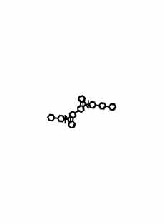 C1=CCC(c2ccc(-c3ccc(-n4c5ccccc5c5cc(-c6ccc7c(c6)c6c(n7C7=CCC(C8C=CCCC8)C=C7)CCC=C6)ccc54)cc3)cc2)C=C1